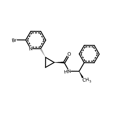 C[C@@H](NC(=O)[C@H]1C[C@@H]1c1cccc(Br)n1)c1ccccc1